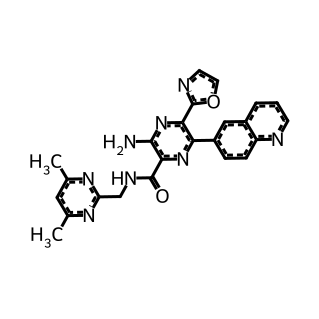 Cc1cc(C)nc(CNC(=O)c2nc(-c3ccc4ncccc4c3)c(-c3ncco3)nc2N)n1